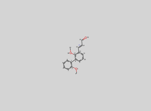 COc1ccccc1-c1cccc(/C=C/C=O)c1OC